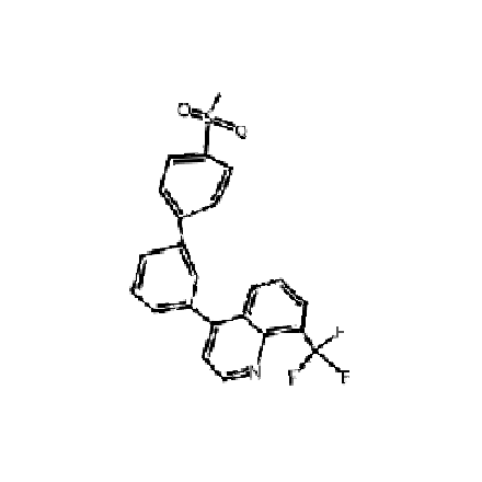 CS(=O)(=O)c1ccc(-c2cccc(-c3ccnc4c(C(F)(F)F)cccc34)c2)cc1